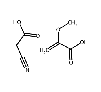 C=C(OC)C(=O)O.N#CCC(=O)O